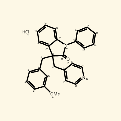 COc1cccc(CC2(Cc3ccncc3)C(=O)N(c3ccccc3)c3ccccc32)c1.Cl